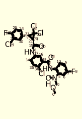 COCN(O)c1cc(F)ccc1NC(=O)c1cc(NC(=O)[C@H]2[C@H](c3ccc(F)c(Cl)c3)C2(Cl)Cl)ccc1Cl